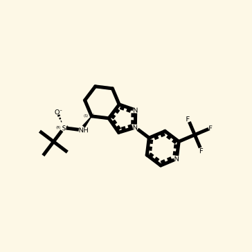 CC(C)(C)[S@+]([O-])N[C@H]1CCCc2nn(-c3ccnc(C(F)(F)F)c3)cc21